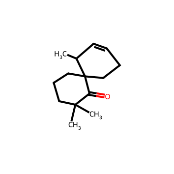 CC1C=CCCC12CCCC(C)(C)C2=O